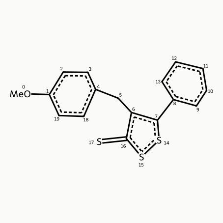 COc1ccc(Cc2c(-c3ccccc3)ssc2=S)cc1